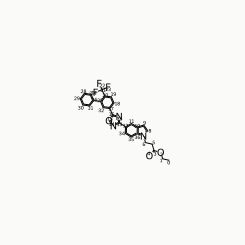 CCOC(=O)CCn1ccc2cc(-c3noc(-c4ccc(C(F)(F)F)c(-c5ccccc5)c4)n3)ccc21